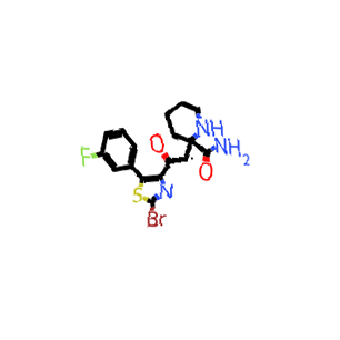 NC(=O)C1([CH]C(=O)c2nc(Br)sc2-c2cccc(F)c2)CCCCN1